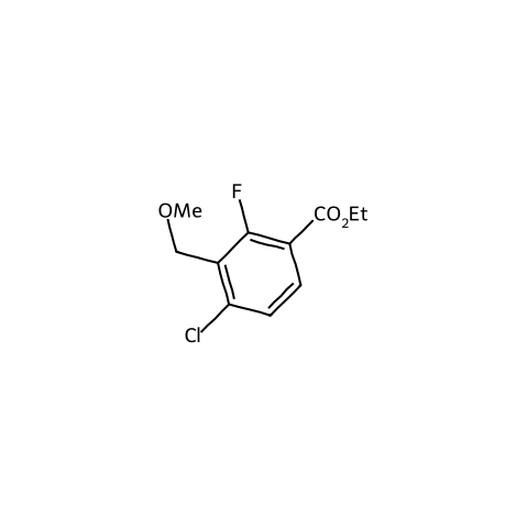 CCOC(=O)c1ccc(Cl)c(COC)c1F